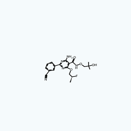 C[C@H](F)COc1nc(-c2cccc(C#N)c2)nc(N)c1C(=O)NOCC(C)(C)O